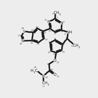 Cc1nc(NC(C)c2cccc(OCC(=O)N(C)C)c2)cc(-c2ccc3ncsc3c2)n1